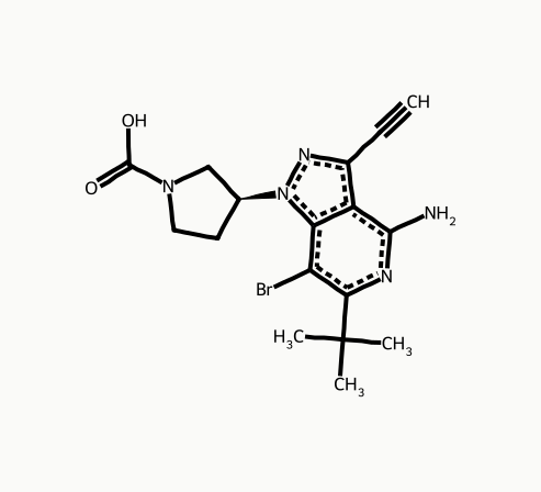 C#Cc1nn([C@H]2CCN(C(=O)O)C2)c2c(Br)c(C(C)(C)C)nc(N)c12